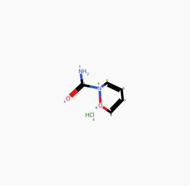 Cl.NC(=O)N1C=CC=CO1